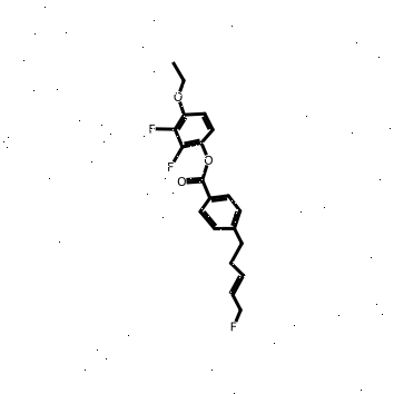 CCOc1ccc(OC(=O)c2ccc(CC/C=C/CF)cc2)c(F)c1F